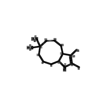 BC1(N)CCCC2NC(C)=C(C)C2CCC1